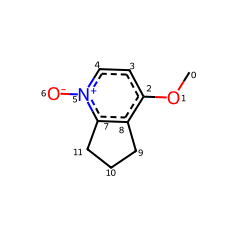 COc1cc[n+]([O-])c2c1CCC2